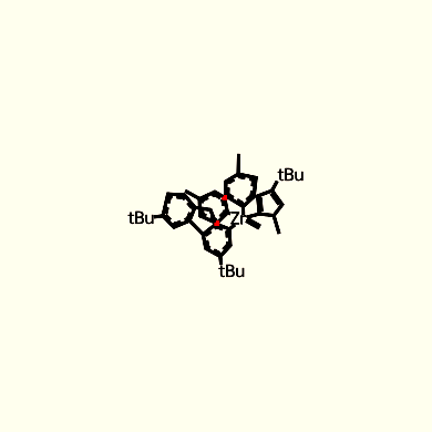 [CH2]=[Zr]([C]1=CC(C(C)(C)C)=CC1C)([c]1ccc(C)cc1)([c]1ccc(C)cc1)[c]1cc(C(C)(C)C)cc2c1Cc1ccc(C(C)(C)C)cc1-2